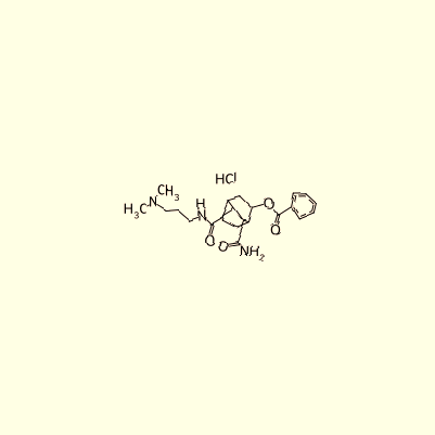 CN(C)CCCNC(=O)C1C2CCC(C(OC(=O)c3ccccc3)C2)C1C(N)=O.Cl